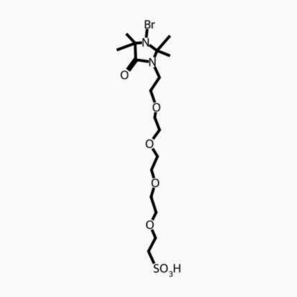 CC1(C)C(=O)N(CCOCCOCCOCCOCCS(=O)(=O)O)C(C)(C)N1Br